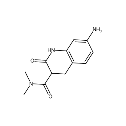 CN(C)C(=O)C1Cc2ccc(N)cc2NC1=O